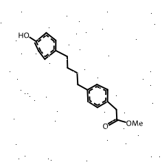 COC(=O)Cc1ccc(CCCCc2ccc(O)cc2)cc1